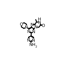 CC1NC(=O)Cn2c1nc1c(N3CCOCC3)nc(-c3cnc(N)nc3)nc12